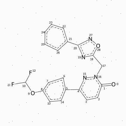 O=c1ccc(-c2ccc(OC(F)F)cc2)nn1Cc1nc(-c2ccccc2)no1